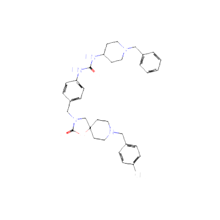 O=C(Nc1ccc(CN2CC3(CCN(Cc4ccc(C(F)(F)F)cc4)CC3)OC2=O)cc1)NC1CCN(Cc2ccccc2)CC1